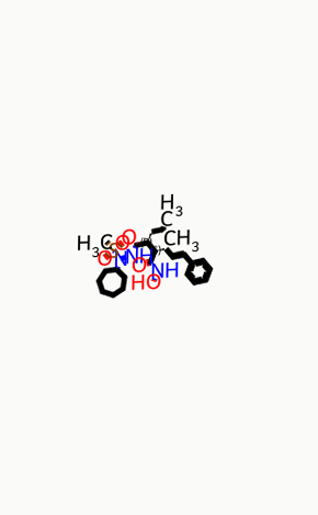 CC(C)C[C@@H](C(=O)NN(C1CCCCCC1)S(C)(=O)=O)[C@H](CC=Cc1ccccc1)C(=O)NO